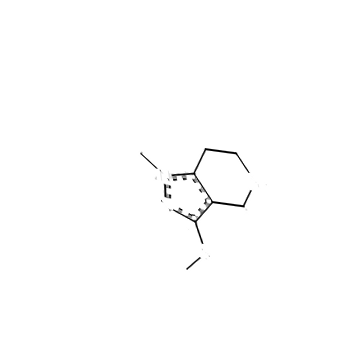 CSc1nn(C)c2c1CSCC2